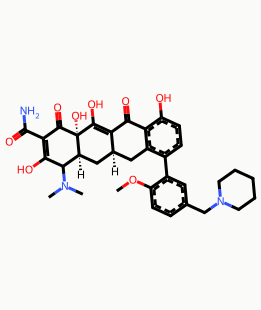 COc1ccc(CN2CCCCC2)cc1-c1ccc(O)c2c1C[C@H]1C[C@H]3C(N(C)C)C(O)=C(C(N)=O)C(=O)[C@@]3(O)C(O)=C1C2=O